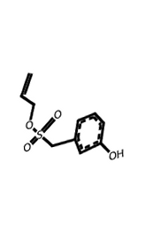 C=CCOS(=O)(=O)Cc1cccc(O)c1